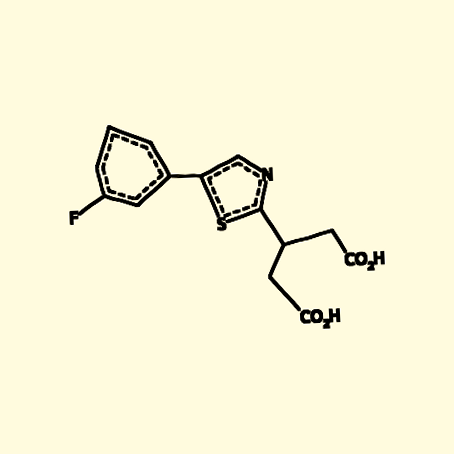 O=C(O)CC(CC(=O)O)c1ncc(-c2cccc(F)c2)s1